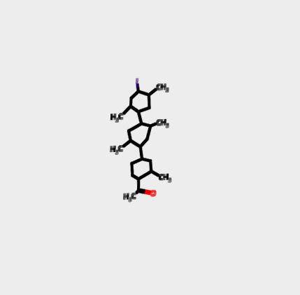 CC(=O)C1CCC(C2CC(C)C(C3CC(C)C(I)CC3C)CC2C)CC1C